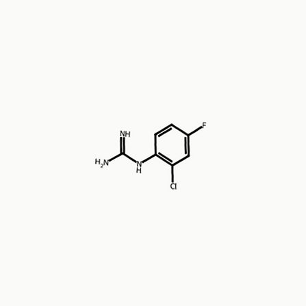 N=C(N)Nc1ccc(F)cc1Cl